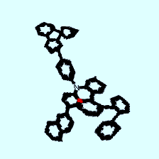 c1ccc(-c2ccccc2-c2ccccc2-c2ccccc2N(c2ccc(-c3ccc4c(c3)C3(CC5CCC3C5)c3ccccc3-4)cc2)c2ccc(-c3ccc4ccccc4c3)cc2)cc1